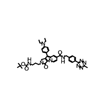 CCN(CC)c1ccc(-c2c3c(n4ccc(C(=O)NCc5ccc(-c6nnc(C)nn6)cc5)cc24)C(=O)N(CCCNC(=O)OC(C)(C)C)C3)cc1